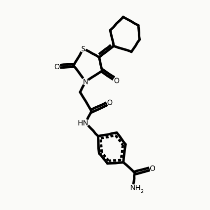 NC(=O)c1ccc(NC(=O)CN2C(=O)SC(=C3CCCCC3)C2=O)cc1